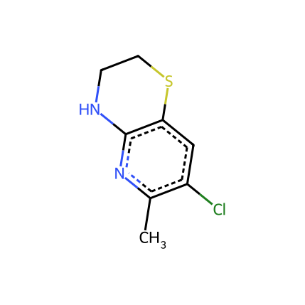 Cc1nc2c(cc1Cl)SCCN2